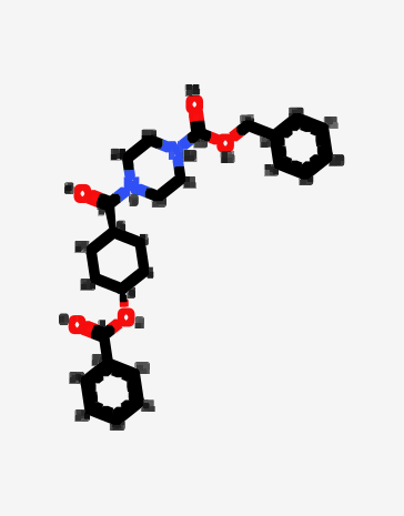 O=C(O[C@H]1CC[C@H](C(=O)N2CCN(C(=O)OCc3ccccc3)CC2)CC1)c1ccccc1